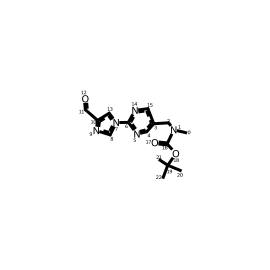 CN(Cc1cnc(-n2cnc(C=O)c2)nc1)C(=O)OC(C)(C)C